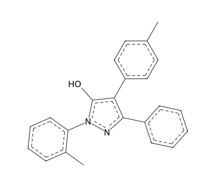 Cc1ccc(-c2c(-c3ccccc3)nn(-c3ccccc3C)c2O)cc1